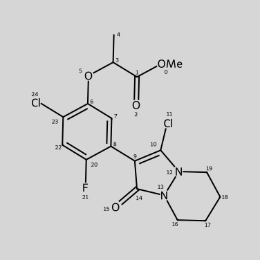 COC(=O)C(C)Oc1cc(-c2c(Cl)n3n(c2=O)CCCC3)c(F)cc1Cl